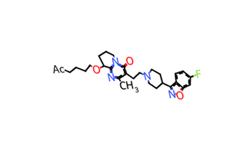 CC(=O)CCCCOC1CCCn2c1nc(C)c(CCN1CCC(c3noc4cc(F)ccc34)CC1)c2=O